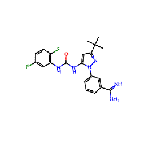 CC(C)(C)c1cc(NC(=O)Nc2cc(F)ccc2F)n(-c2cccc(C(=N)N)c2)n1